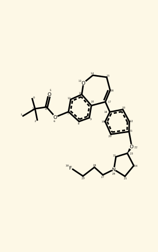 CC(C)(C)C(=O)Oc1ccc2c(c1)OCCC=C2c1ccc(O[C@H]2CCN(CCCF)C2)cc1